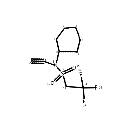 C#CN(C1CCCCC1)S(=O)(=O)CC(F)(F)F